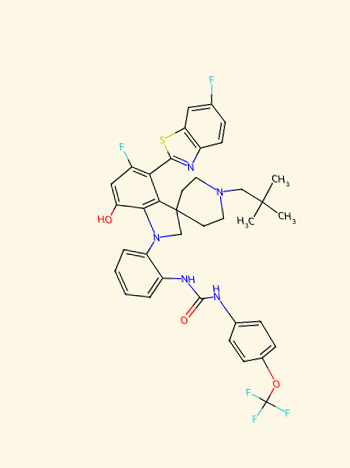 CC(C)(C)CN1CCC2(CC1)CN(c1ccccc1NC(=O)Nc1ccc(OC(F)(F)F)cc1)c1c(O)cc(F)c(-c3nc4ccc(F)cc4s3)c12